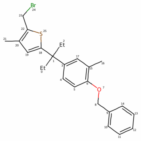 CCC(CC)(c1ccc(OCc2ccccc2)c(C)c1)c1cc(C)c(CBr)s1